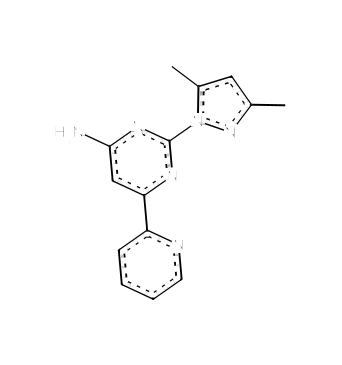 Cc1cc(C)n(-c2nc(N)cc(-c3ccccn3)n2)n1